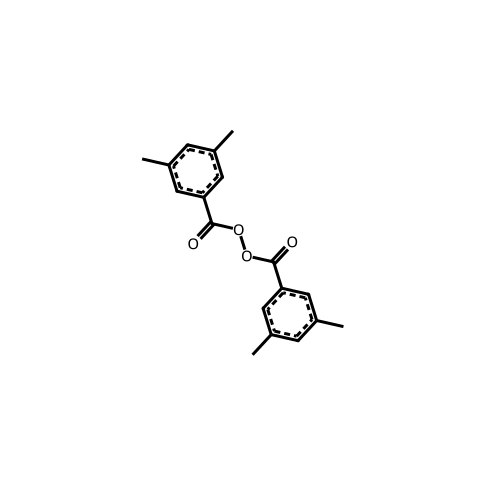 Cc1cc(C)cc(C(=O)OOC(=O)c2cc(C)cc(C)c2)c1